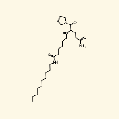 CCCCCCCCCCNC(=O)CCCCCNC(CCC(N)=O)C(=O)N1CCCC1